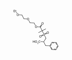 CCOCCOCCOC(=O)C(C)(C)S(=O)(=O)CC(Cc1ccccc1)C(=O)O